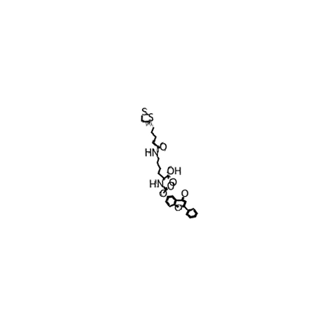 O=C(CCCC[C@@H]1CCSS1)NCCCCC(NC(=O)Oc1ccc2oc(-c3ccccc3)cc(=O)c2c1)C(=O)O